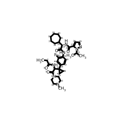 CCC(=O)NC(C(=O)N1CCN(C)CC1)C1(c2ccc(NC(=O)[C@@H](NC(=O)c3ccnn3C(C)C)C3CCCCCC3)c(F)c2)CC1